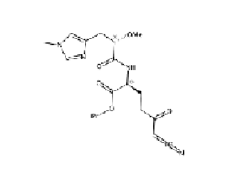 CO[C@@H](Cc1cn(C)cn1)C(=O)N[C@@H](CCC(=O)C=[N+]=[N-])C(=O)OC(C)C